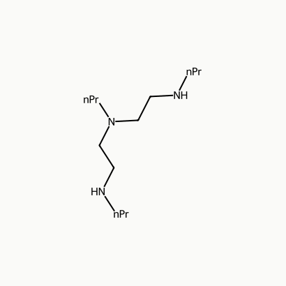 CCCNCCN(CCC)CCNCCC